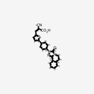 N#CC(=Cc1ccc(-c2ccc(-n3nc4c5ccccc5ccn4c3=O)cc2)s1)C(=O)O